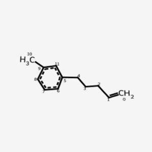 C=CCCCc1cccc(C)c1